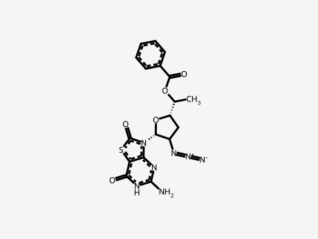 CC(OC(=O)c1ccccc1)[C@@H]1CC(N=[N+]=[N-])[C@H](n2c(=O)sc3c(=O)[nH]c(N)nc32)O1